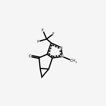 Cn1nc(C(F)(F)F)c2c1C1CC1C2=O